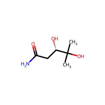 CC(C)(O)[C@@H](O)CC(N)=O